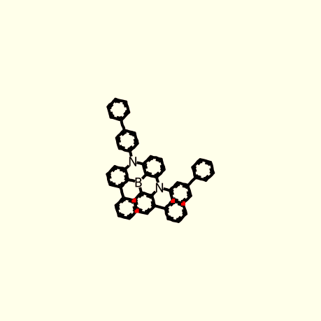 c1ccc(-c2ccc(N3c4cccc(-c5ccccc5)c4B4c5cccc(-c6ccccc6)c5N(c5cccc(-c6ccccc6)c5)c5cccc3c54)cc2)cc1